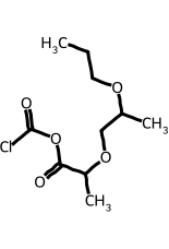 CCCOC(C)COC(C)C(=O)OC(=O)Cl